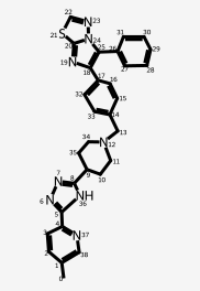 Cc1ccc(-c2nnc(C3CCN(Cc4ccc(-c5nc6scnn6c5-c5ccccc5)cc4)CC3)[nH]2)nc1